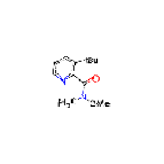 CON(C)C(=O)c1ncccc1C(C)(C)C